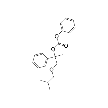 CC(C)COCC(C)(OC(=O)Oc1ccccc1)c1ccccc1